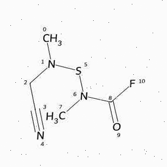 CN(CC#N)SN(C)C(=O)F